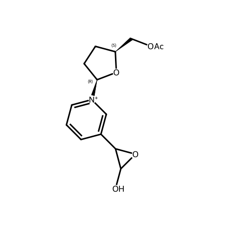 CC(=O)OC[C@@H]1CC[C@H]([n+]2cccc(C3OC3O)c2)O1